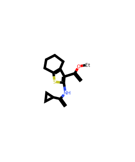 C=C(OCC)c1c(NC(=C)C2CC2)sc2c1CCCC2